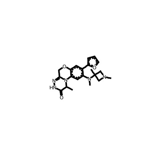 CC1C(=O)NN=C2COc3cc(-c4ccco4)c(N(C)C4(C)CN(C)C4)cc3N21